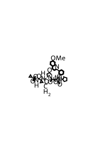 C=C[C@@H]1C[C@]1(NC(=O)[C@@H]1C[C@@H](Oc2cc(-c3ccccc3)nc3cc(OC)ccc23)CN1C(=O)[C@@H](OC(=O)NC1CCCC1)C(C)(C)C)C(=O)NS(=O)(=O)C1CC1